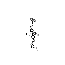 [CH2]=[Cr][C](=O)OCCOc1ccc(C(C)(C)c2ccc(OCCO[C](=O)[Cr]=[CH2])cc2)cc1